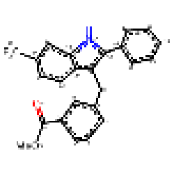 COC(=O)c1cccc(Cc2c(-c3ccccc3)[nH]c3cc(C(F)(F)F)ccc23)c1